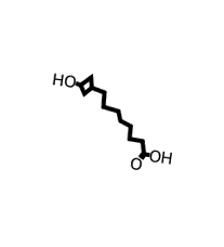 O=C(O)CCCCCCCC1CC(O)C1